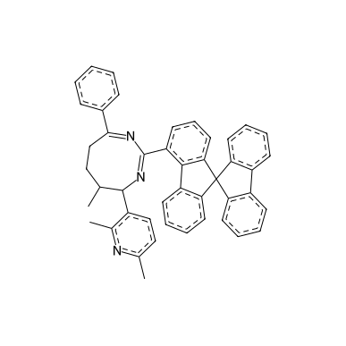 Cc1ccc(C2/N=C(c3cccc4c3-c3ccccc3C43c4ccccc4-c4ccccc43)\N=C(\c3ccccc3)CCC2C)c(C)n1